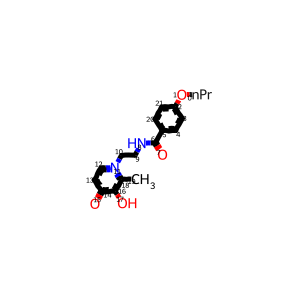 CCCOc1ccc(C(=O)NCCn2ccc(=O)c(O)c2C)cc1